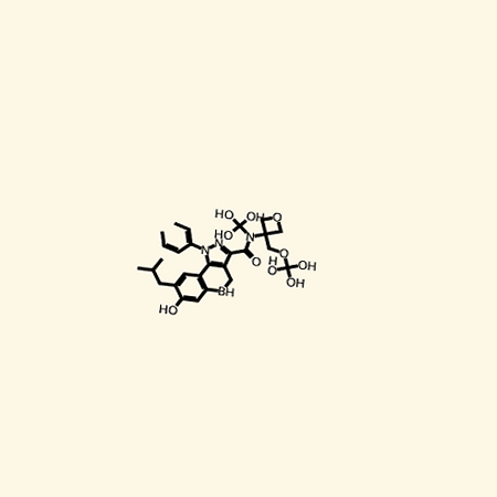 C/C=C\C(=C/C)n1nc(C(=O)N(C(O)(O)O)C2(COC(O)(O)O)COC2)c2c1-c1cc(CC(C)C)c(O)cc1BC2